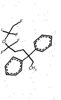 CCC(CCC(F)(F)OC(F)(F)CF)(c1ccccc1)c1ccccc1